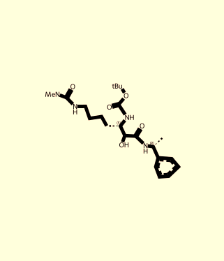 CNC(=O)NCCCC[C@H](NC(=O)OC(C)(C)C)C(O)C(=O)N[C@H](C)c1ccccc1